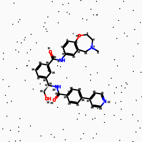 CN1CCOc2ccc(NC(=O)c3cccc([C@@H](CO)NC(=O)c4ccc(-c5ccncc5)cc4)c3)cc2C1